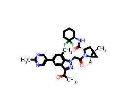 CC(=O)c1nn(CC(=O)N2[C@H](C(=O)N[C@@H]3CCCCC3(F)F)C[C@@]3(C)C[C@@H]23)c2c(C)cc(-c3cnc(C)nc3)cc12